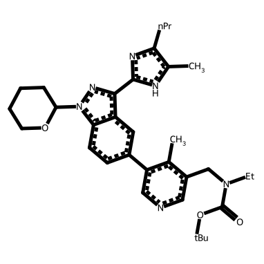 CCCc1nc(-c2nn(C3CCCCO3)c3ccc(-c4cncc(CN(CC)C(=O)OC(C)(C)C)c4C)cc23)[nH]c1C